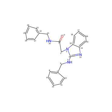 O=C(Cn1c(NCc2ccccc2)nc2ccccc21)NCc1ccccc1